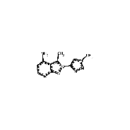 Cc1c2c(N)ccnc2nn1-c1cn(C)nn1